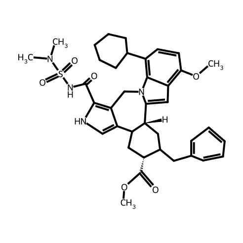 COC(=O)[C@@H]1CC2c3c[nH]c(C(=O)NS(=O)(=O)N(C)C)c3Cn3c(cc4c(OC)ccc(C5CCCCC5)c43)[C@@H]2CC1Cc1ccccc1